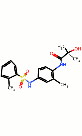 Cc1cc(NS(=O)(=O)c2ccccc2C(F)(F)F)ccc1NC(=O)[C@@](C)(O)C(F)(F)F